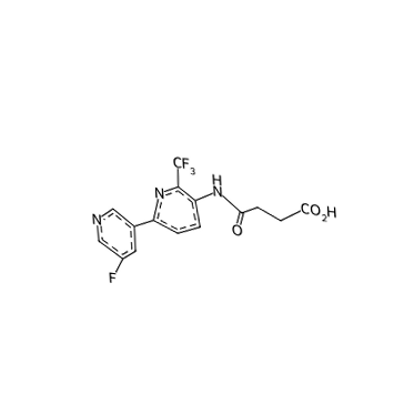 O=C(O)CCC(=O)Nc1ccc(-c2cncc(F)c2)nc1C(F)(F)F